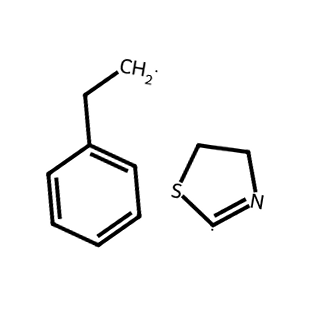 [CH2]Cc1ccccc1.[C]1=NCCS1